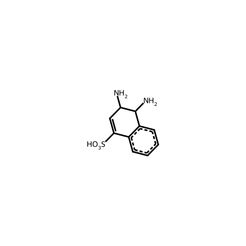 NC1C=C(S(=O)(=O)O)c2ccccc2C1N